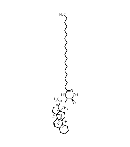 CCCCCCCCCCCCCCCCCCCC(=O)NC(C[C@@H](C)[C@H]1CC[C@H]2[C@@H]3CCC4CCCC[C@]4(C)[C@H]3CC[C@]12C)C(=O)O